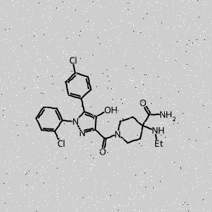 CCNC1(C(N)=O)CCN(C(=O)c2nn(-c3ccccc3Cl)c(-c3ccc(Cl)cc3)c2O)CC1